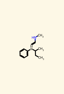 CCC(C)[SiH](C=CNC)c1ccccc1